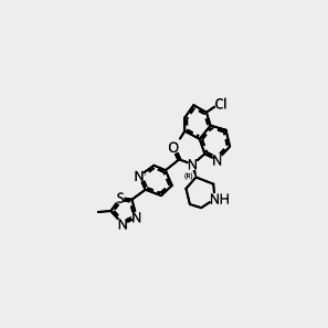 Cc1nnc(-c2ccc(C(=O)N(c3nccc4c(Cl)ccc(C)c34)[C@@H]3CCCNC3)cn2)s1